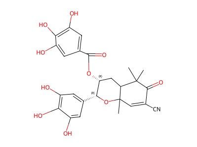 CC12C=C(C#N)C(=O)C(C)(C)C1C[C@@H](OC(=O)c1cc(O)c(O)c(O)c1)[C@@H](c1cc(O)c(O)c(O)c1)O2